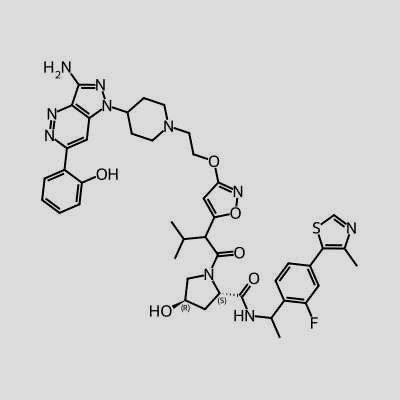 Cc1ncsc1-c1ccc(C(C)NC(=O)[C@@H]2C[C@@H](O)CN2C(=O)C(c2cc(OCCN3CCC(n4nc(N)c5nnc(-c6ccccc6O)cc54)CC3)no2)C(C)C)c(F)c1